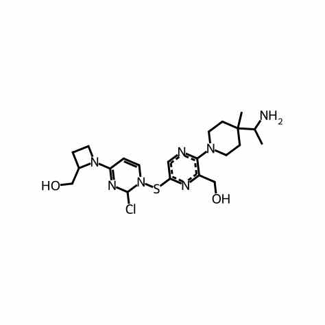 CC(N)C1(C)CCN(c2ncc(SN3C=CC(N4CCC4CO)=NC3Cl)nc2CO)CC1